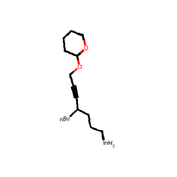 CCCCC(C#CCOC1CCCCO1)CC[CH2][InH2]